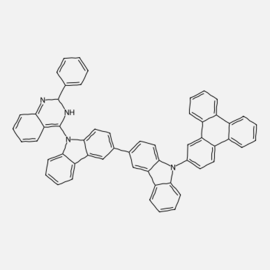 c1ccc(C2N=c3ccccc3=C(n3c4ccccc4c4cc(-c5ccc6c(c5)c5ccccc5n6-c5ccc6c7ccccc7c7ccccc7c6c5)ccc43)N2)cc1